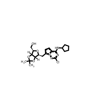 CC1(C)O[C@@H]2[C@H](O1)[C@@H](CO)O[C@H]2Cc1ccc2c(NC3CCCC3)nc(Cl)nn12